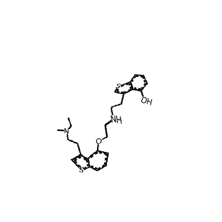 CCN(C)CCc1csc2cccc(OCCNCCc3csc4cccc(O)c34)c12